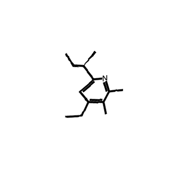 CCc1cc([C@H](C)CC)nc(C)c1C